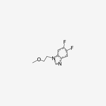 COCCn1cnc2cc(F)c(F)cc21